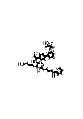 NCCCC[C@@H](NC(=O)CCCCNc1ccccn1)C(=O)NC(CC(=O)O)c1ccc(-c2ccccc2)cc1.O=C(O)C(F)(F)F